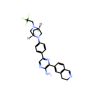 Nc1ncc(-c2ccc(N3C[C@@H]4C[C@H]3CN4CC(F)(F)F)cc2)nc1-c1ccc2c(c1)CCN=C2